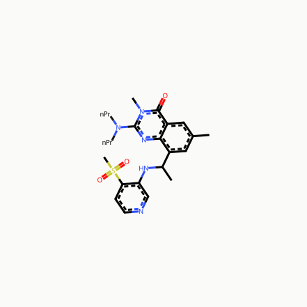 CCCN(CCC)c1nc2c(C(C)Nc3cnccc3S(C)(=O)=O)cc(C)cc2c(=O)n1C